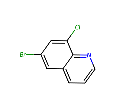 Clc1cc(Br)cc2cccnc12